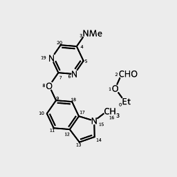 CCOC=O.CNc1cnc(Oc2ccc3ccn(C)c3c2)nc1